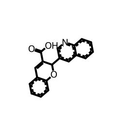 O=C(O)C1=Cc2ccccc2OC1c1cnc2ccccc2c1